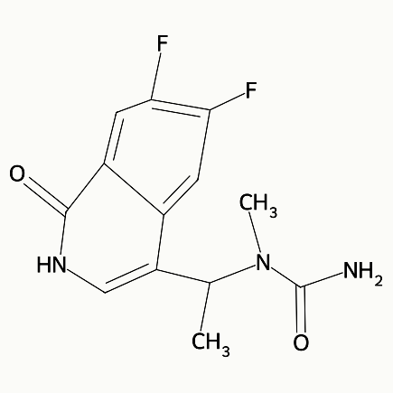 CC(c1c[nH]c(=O)c2cc(F)c(F)cc12)N(C)C(N)=O